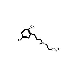 O=C(O)CCNCCCc1cc(Cl)ccc1O